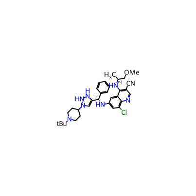 COC[C@H](C)Nc1c(C#N)cnc2c(Cl)cc(N[C@H](C3=CN(C4CCN(C(C)(C)C)CC4)NN3)c3ccccc3)cc12